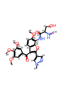 COc1cc(C(=O)c2c(-c3cnn(C)c3)oc3c(NC(=O)C(CO)NI)c(OC)ccc23)cc(OC)c1OC